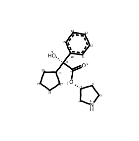 O=C(O[C@@H]1CCNC1)[C@](O)(c1ccccc1)C1CCCC1